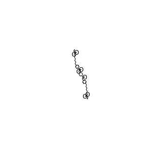 C=CC(=O)OCCCCCCc1ccc(CC(=O)C2CCC(OC(=O)c3ccc(CCCCCCOC(=O)C=C)cc3)CC2)cc1